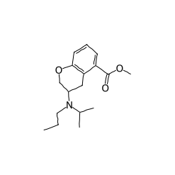 CCCN(C(C)C)C1COc2cccc(C(=O)OC)c2C1